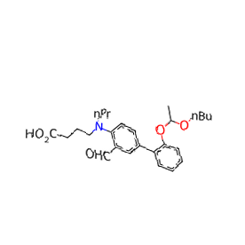 CCCCOC(C)Oc1ccccc1-c1ccc(N(CCC)CCCC(=O)O)c(C=O)c1